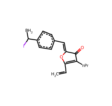 BC(I)c1ccc(/C=C2\OC(C=C)=C(CCC)C2=O)cc1